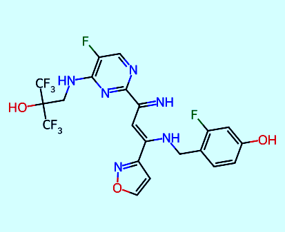 N=C(/C=C(\NCc1ccc(O)cc1F)c1ccon1)c1ncc(F)c(NCC(O)(C(F)(F)F)C(F)(F)F)n1